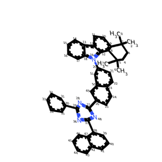 CC1(C)CCC(C)(C)c2c1ccc1c3ccccc3n(-c3ccc4ccc(-c5nc(-c6ccccc6)nc(-c6cccc7ccccc67)n5)cc4c3)c21